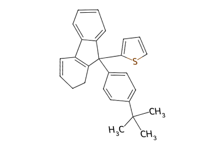 CC(C)(C)c1ccc(C2(c3cccs3)C3=C(C=CCC3)c3ccccc32)cc1